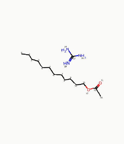 CCCCCCCCCCCCOC(C)=O.N=C(N)N